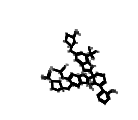 Cc1ccccc1C1=CC=CC(c2nc3cc(CN4CC[C@H](C(=O)O)C4)c(OC(F)F)cc3o2)(c2nc3cc(CN4CCC(C)C4)cc(C(F)(F)F)c3o2)C1C